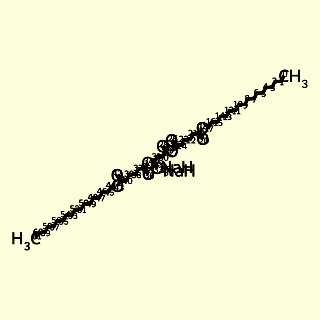 CCCCCCCCCCCCCCCCCCOC(=O)CCCCC(=O)OC(=O)/C=C/C(=O)OC(=O)CCCCC(=O)OCCCCCCCCCCCCCCCCCC.[NaH].[NaH]